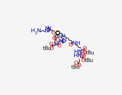 CC(C)(C)OC(=O)CC[C@H](NC(=O)N[C@@H](CCCCNC(=O)CCCCCN(Cc1ccc(OCc2cn(CCCN)nn2)cc1)Cc1nccn1CC(=O)N(CC(=O)OC(C)(C)C)CC(=O)OC(C)(C)C)C(=O)OC(C)(C)C)C(=O)OC(C)(C)C